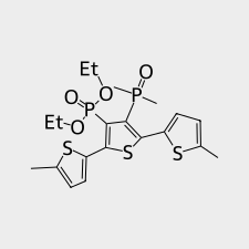 CCOP(=O)(OCC)c1c(-c2ccc(C)s2)sc(-c2ccc(C)s2)c1P(C)(C)=O